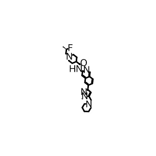 C[C@@H](F)CN1CCC(C(=O)Nc2cc3cc(-c4cc(CN5CCCCC5)n(C)n4)ccc3cn2)CC1